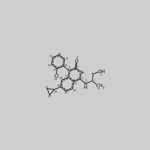 CC(CO)Nc1nc(=O)n(-c2ccccc2Cl)c2cc(C3CC3)ccc12